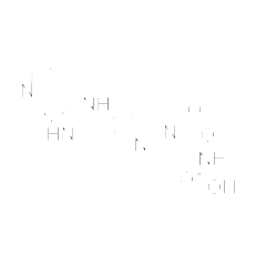 Cc1ccc2c(N)c(N[C@H]3CCc4nc(N5CC(NC(=O)O)C6(C5)OCCO6)ccc4C3)sc2n1